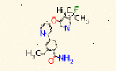 CCc1cc(-c2cc(Oc3cncc(C(C)(C)F)c3)ccn2)ccc1C(N)=O